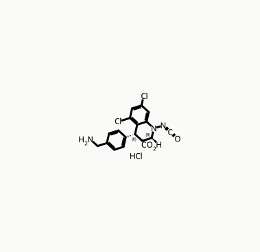 Cl.NCc1ccc([C@H]2C[C@H](C(=O)O)N(N=C=O)c3cc(Cl)cc(Cl)c32)cc1